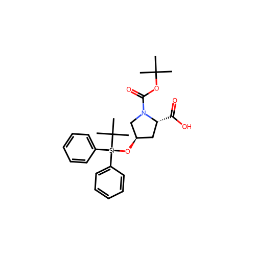 CC(C)(C)OC(=O)N1C[C@H](O[Si](c2ccccc2)(c2ccccc2)C(C)(C)C)C[C@H]1C(=O)O